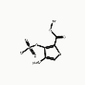 COc1csc(C(=O)OC(C)C)c1OS(=O)(=O)Cl